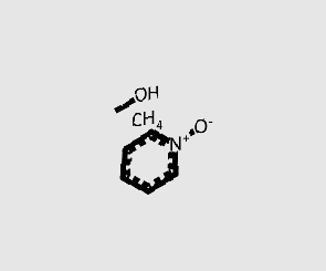 C.CO.[O-][n+]1ccccc1